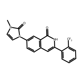 Cn1ccn(-c2ccc3cc(-c4ccccc4C(F)(F)F)[nH]c(=O)c3c2)c1=O